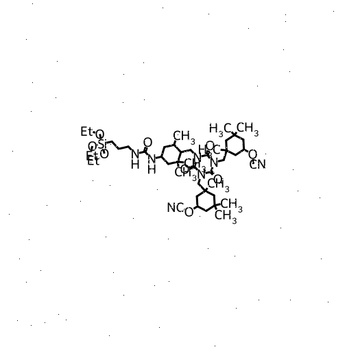 CCO[Si](CCCNC(=O)NC1CC(C)C(Cn2c(=O)n(CC3(C)CC(OC#N)CC(C)(C)C3)c(=O)n(CC3(C)CC(OC#N)CC(C)(C)C3)c2=O)C(C)(C)C1)(OCC)OCC